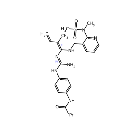 C=C/C(=C(\N=C(/N)Nc1ccc(NC(=O)C(C)C)cc1)NCc1cccnc1N(C)S(C)(=O)=O)C(F)(F)F